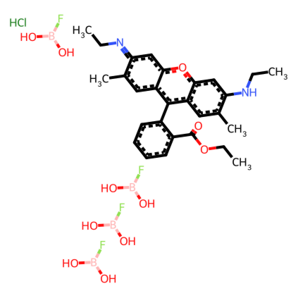 CC/N=c1/cc2oc3cc(NCC)c(C)cc3c(-c3ccccc3C(=O)OCC)c-2cc1C.Cl.OB(O)F.OB(O)F.OB(O)F.OB(O)F